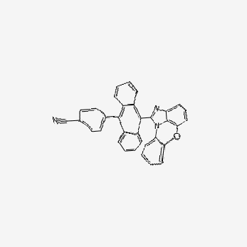 N#Cc1ccc(-c2c3ccccc3c(-c3nc4cccc5c4n3-c3ccccc3O5)c3ccccc23)cc1